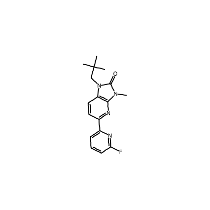 Cn1c(=O)n(CC(C)(C)C)c2ccc(-c3cccc(F)n3)nc21